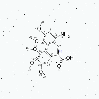 COc1cc(N)c(/C=C(/C(=O)O)c2cc(OC)c(OC)c(OC)c2)cc1OC